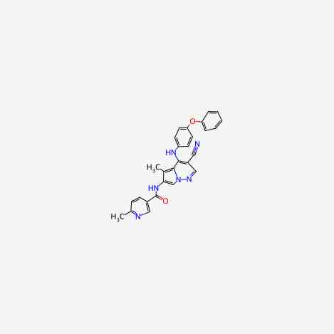 Cc1ccc(C(=O)Nc2cn3ncc(C#N)c(Nc4ccc(Oc5ccccc5)cc4)c3c2C)cn1